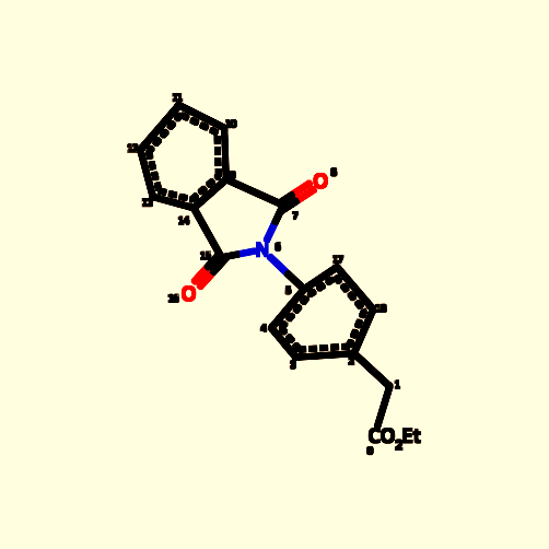 CCOC(=O)Cc1ccc(N2C(=O)c3ccccc3C2=O)cc1